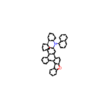 c1ccc(-c2ccccc2N(c2ccc3c4ccccc4c4c(ccc5oc6ccccc6c54)c3c2)c2cccc3ccccc23)cc1